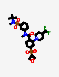 CN(C(=O)c1ccc(S(=O)(=O)C2COC2)cc1N1CCC(=C(F)F)CC1)c1cccc(S(=O)(=O)N(C)C(C)(C)C)c1